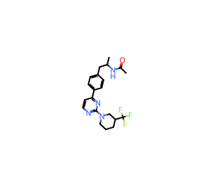 CC(=O)NC(C)Cc1ccc(-c2ccnc(N3CCCC(C(F)(F)F)C3)n2)cc1